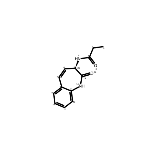 CCC(=O)N[C@@H]1C=Cc2ccccc2NC1=O